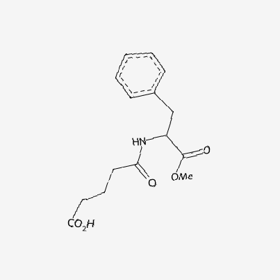 COC(=O)C(Cc1ccccc1)NC(=O)CCCC(=O)O